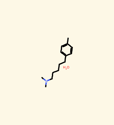 Cc1ccc(CCCCCN(C)C)cc1.O